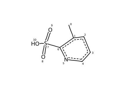 Cc1cccnc1S(=O)(=O)O